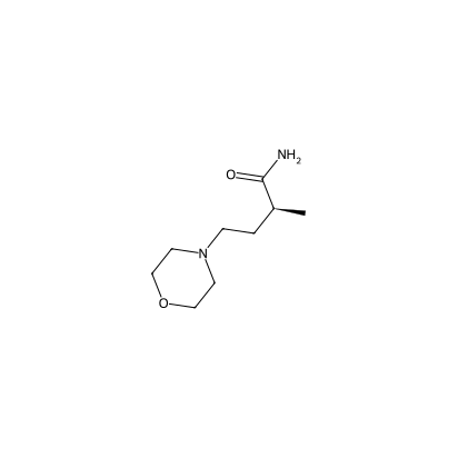 C[C@@H](CCN1CCOCC1)C(N)=O